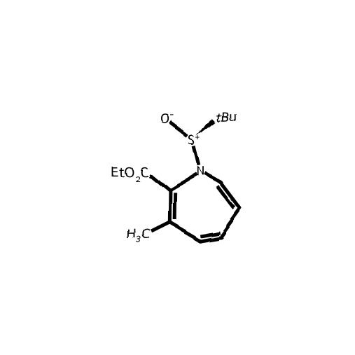 CCOC(=O)C1=C(C)C=CC=CN1[S@@+]([O-])C(C)(C)C